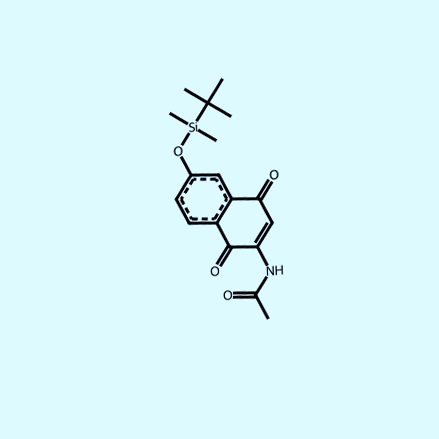 CC(=O)NC1=CC(=O)c2cc(O[Si](C)(C)C(C)(C)C)ccc2C1=O